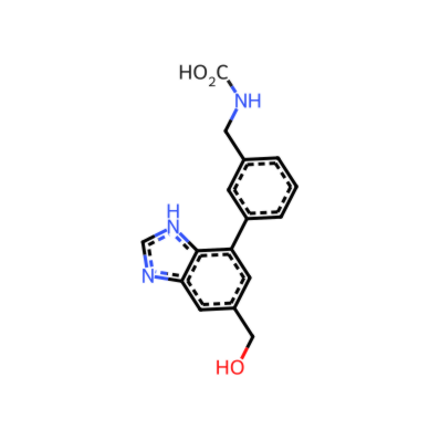 O=C(O)NCc1cccc(-c2cc(CO)cc3nc[nH]c23)c1